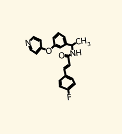 CC(NC(=O)/C=C/c1ccc(F)cc1)c1cccc(Oc2ccncc2)c1